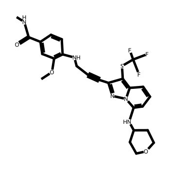 CNC(=O)c1ccc(NCC#Cc2nn3c(NC4CCOCC4)cccc3c2SC(F)(F)F)c(OC)c1